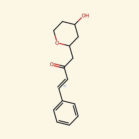 O=C(/C=C/c1ccccc1)CC1CC(O)CCO1